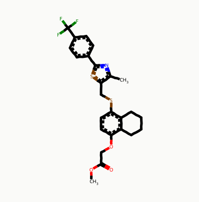 COC(=O)COc1ccc(SCc2sc(-c3ccc(C(F)(F)F)cc3)nc2C)c2c1CCCC2